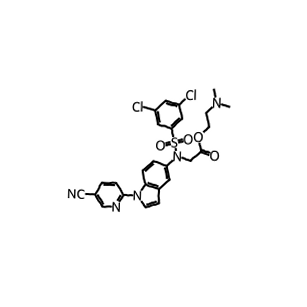 CN(C)CCOC(=O)CN(c1ccc2c(ccn2-c2ccc(C#N)cn2)c1)S(=O)(=O)c1cc(Cl)cc(Cl)c1